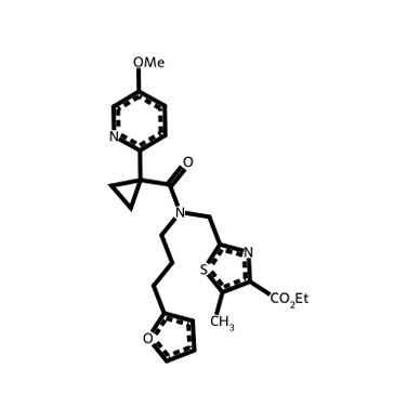 CCOC(=O)c1nc(CN(CCCc2ccco2)C(=O)C2(c3ccc(OC)cn3)CC2)sc1C